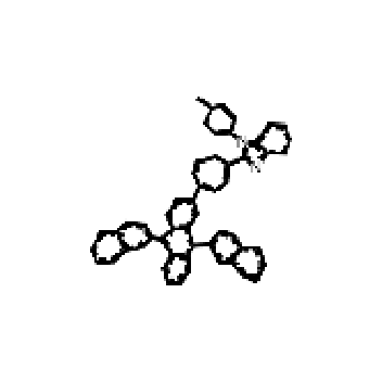 CC1C=CC(n2c(C3=CC=C(c4ccc5c(-c6ccc7ccccc7c6)c6ccccc6c(-c6ccc7ccccc7c6)c5c4)C=CC3)nc3ccccc32)=CC1